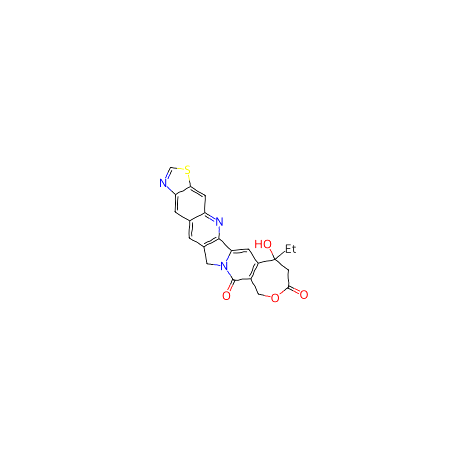 CCC1(O)CC(=O)OCc2c1cc1n(c2=O)Cc2cc3cc4ncsc4cc3nc2-1